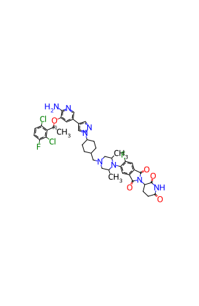 CC1CN(CC2CCC(n3cc(-c4cnc(N)c(O[C@H](C)c5c(Cl)ccc(F)c5Cl)c4)cn3)CC2)CC(C)N1c1cc2c(cc1F)C(=O)N(C1CCC(=O)NC1=O)C2=O